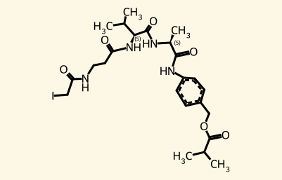 CC(C)C(=O)OCc1ccc(NC(=O)[C@H](C)NC(=O)[C@@H](NC(=O)CCNC(=O)CI)C(C)C)cc1